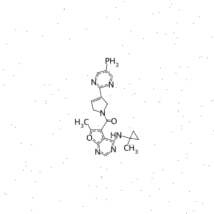 Cc1oc2ncnc(NC3(C)CC3)c2c1C(=O)N1CC=C(c2ncc(P)cn2)C1